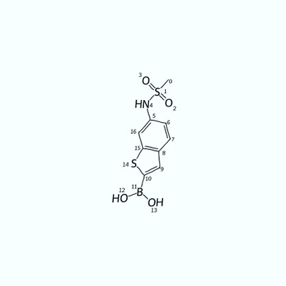 CS(=O)(=O)Nc1ccc2cc(B(O)O)sc2c1